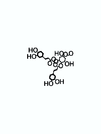 O=COC1(O)CC(O)C(OC(=O)/C=C/c2ccc(O)c(O)c2)C(OOC(=O)/C=C/c2ccc(O)c(O)c2)C1